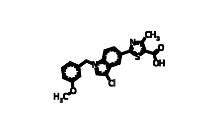 COc1cccc(Cn2cc(Cl)c3cc(-c4nc(C)c(C(=O)O)s4)ccc32)c1